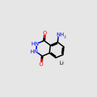 Nc1cccc2c(=O)[nH][nH]c(=O)c12.[Li]